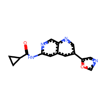 O=C(Nc1cc2cc(-c3cnco3)cnc2cn1)C1CC1